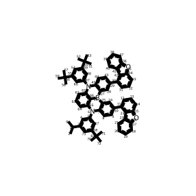 CC(C)c1cc(N2c3ccc(-c4cccc5oc6ccccc6c45)cc3B3c4cc(-c5cccc6oc7ccccc7c56)ccc4N(c4cc(C(C)(C)C)cc(C(C)(C)C)c4)c4cccc2c43)cc(C(C)(C)C)c1